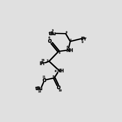 CC(C)C(CC(C)(C)C)NC(=O)C(NC(=O)OC(C)(C)C)C(C)C